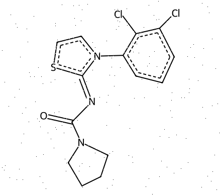 O=C(/N=c1\sccn1-c1cccc(Cl)c1Cl)N1CCCC1